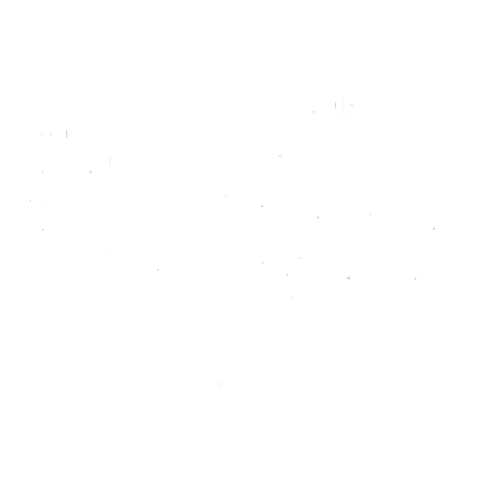 CCCCCCCCCCCCOc1c2cc3cc(-c4sc(C)c5sc(C(=O)OCC)c(F)c45)sc3cc2c(OCCCCCCCCCCCC)c2cc3cc(C)sc3cc12